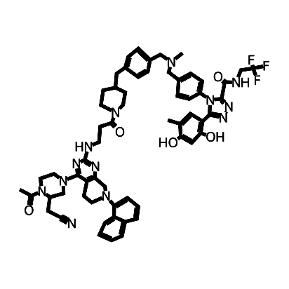 CC(=O)N1CCN(c2nc(NCCC(=O)N3CCC(Cc4ccc(CN(C)Cc5ccc(-n6c(C(=O)NCC(F)(F)F)nnc6-c6cc(C)c(O)cc6O)cc5)cc4)CC3)nc3c2CCN(c2cccc4ccccc24)C3)CC1CC#N